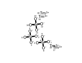 [O-][Si]([O-])([O-])[O-].[O-][Si]([O-])([O-])[O-].[O-][Si]([O-])([O-])[O-].[Tm+3].[Tm+3].[Tm+3].[Tm+3]